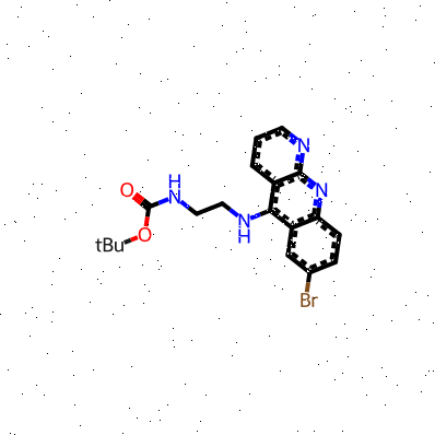 CC(C)(C)OC(=O)NCCNc1c2cc(Br)ccc2nc2ncccc12